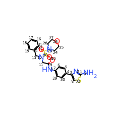 Nc1nc(-c2ccc(NC(=O)CN(Cc3ccccc3)S(=O)(=O)N3CCOCC3)cc2)cs1